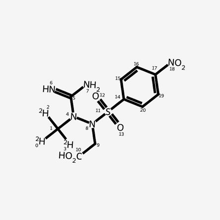 [2H]C([2H])([2H])N(C(=N)N)N(CC(=O)O)S(=O)(=O)c1ccc([N+](=O)[O-])cc1